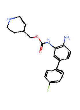 Nc1ccc(-c2ccc(F)cc2)cc1NC(=O)OCC1CCNCC1